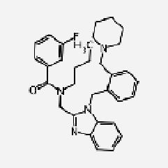 CCCCN(Cc1nc2ccccc2n1Cc1ccccc1CN1CCCCC1)C(=O)c1cccc(F)c1